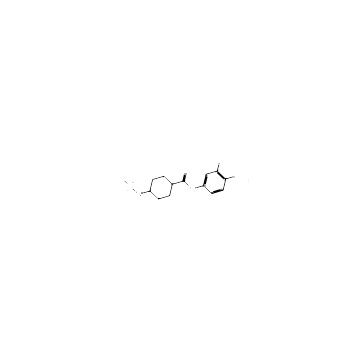 CC(C)S(=O)(=O)NC1CCC(C(=O)Nc2ccc(C(F)(F)F)c(OC(F)(F)F)c2)CC1